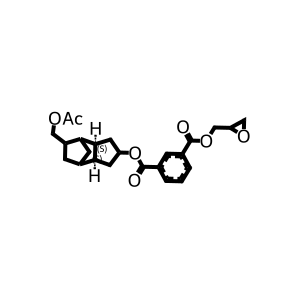 CC(=O)OCC1CC2CC1[C@H]1CC(OC(=O)c3cccc(C(=O)OCC4CO4)c3)C[C@@H]21